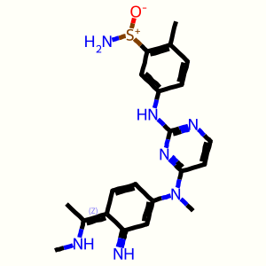 CN/C(C)=C1/C=CC(N(C)c2ccnc(Nc3ccc(C)c([S+](N)[O-])c3)n2)=CC1=N